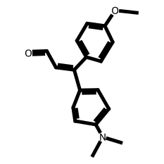 COc1ccc(/C(=C\C=O)c2ccc(N(C)C)cc2)cc1